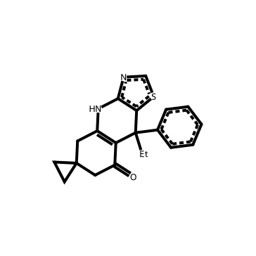 CCC1(c2ccccc2)C2=C(CC3(CC3)CC2=O)Nc2ncsc21